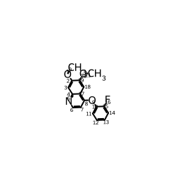 COc1cc2nccc(Oc3ccccc3F)c2cc1OC